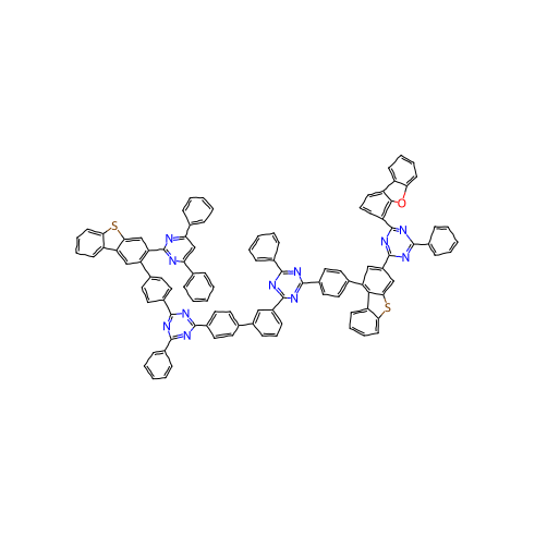 c1ccc(-c2cc(-c3ccccc3)nc(-c3cc4sc5ccccc5c4cc3-c3ccc(-c4nc(-c5ccccc5)nc(-c5ccc(-c6cccc(-c7nc(-c8ccccc8)nc(-c8ccc(-c9cc(-c%10nc(-c%11ccccc%11)nc(-c%11cccc%12c%11oc%11ccccc%11%12)n%10)cc%10sc%11ccccc%11c9%10)cc8)n7)c6)cc5)n4)cc3)n2)cc1